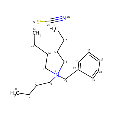 CCCC[N+](CCCC)(CCCC)Cc1ccccc1.N#C[S-]